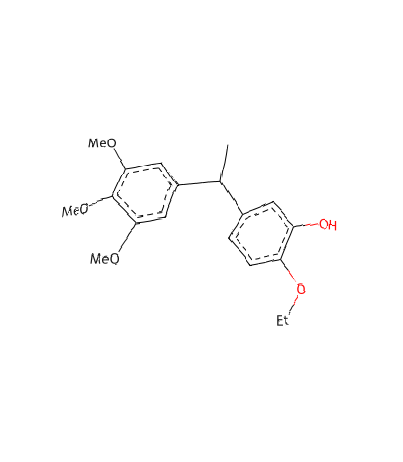 CCOc1ccc(C(C)c2cc(OC)c(OC)c(OC)c2)cc1O